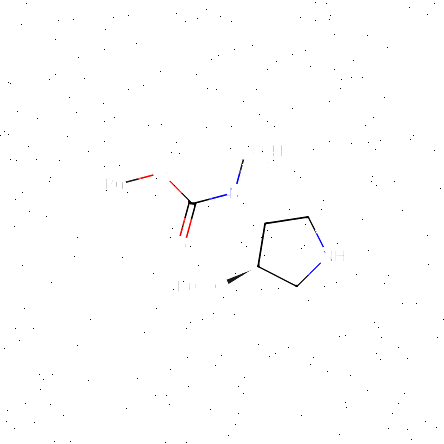 CCOC(=O)[C@@H]1CNC[C@H]1N(C(=O)O)C(=O)OC(C)(C)C